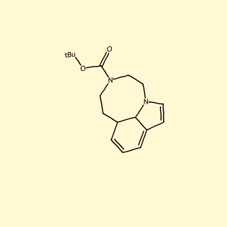 CC(C)(C)OC(=O)N1CCC2C=CC=C3C=CN(CC1)C32